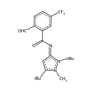 CCCCn1/c(=N/C(=O)c2cc(C(F)(F)F)ccc2C=O)cc(C(C)(C)C)n1C